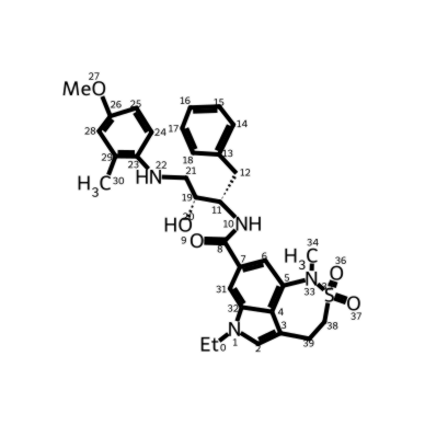 CCn1cc2c3c(cc(C(=O)N[C@@H](Cc4ccccc4)[C@H](O)CNc4ccc(OC)cc4C)cc31)N(C)S(=O)(=O)CC2